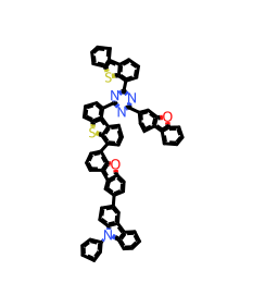 c1ccc(-n2c3ccccc3c3cc(-c4ccc5oc6c(-c7cccc8c7sc7cccc(-c9nc(-c%10ccc%11c(c%10)oc%10ccccc%10%11)nc(-c%10cccc%11c%10sc%10ccccc%10%11)n9)c78)cccc6c5c4)ccc32)cc1